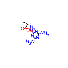 CCC(C)C(=O)O.Nc1nc(N)nc(N)n1